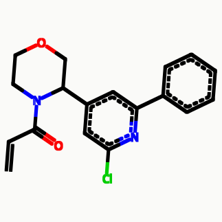 C=CC(=O)N1CCOCC1c1cc(Cl)nc(-c2ccccc2)c1